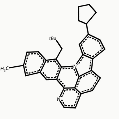 Cc1ccc2c(CC(C)(C)C)c3c(cc2c1)c1nccc2ccc4c5ccc(C6CCCC6)cc5n3c4c21